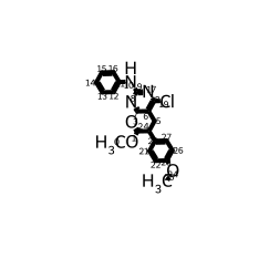 COC(=O)C(Cc1cnc(Nc2ccccc2)nc1Cl)c1ccc(OC)cc1